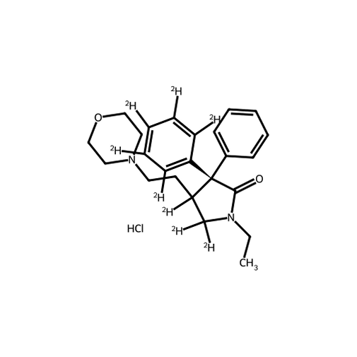 Cl.[2H]c1c([2H])c([2H])c([C@@]2(c3ccccc3)C(=O)N(CC)C([2H])([2H])C2([2H])CCN2CCOCC2)c([2H])c1[2H]